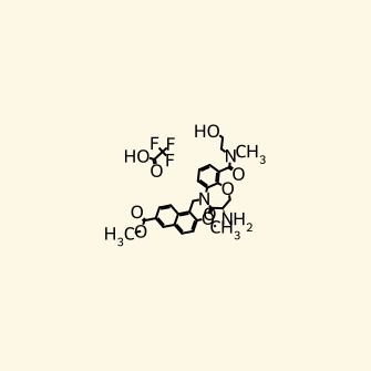 COC(=O)c1ccc2c(CN3C(=O)[C@@H](N)COc4c(C(=O)N(C)CCO)cccc43)c(OC)ccc2c1.O=C(O)C(F)(F)F